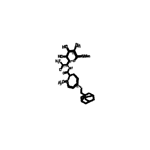 CSC1O[C@H]([C@H](NC(=O)C2CC[C@H](CCC34CC5CC(CC(C5)C3)C4)CCN2C)[C@H](C)Cl)C(O)C(O)[C@H]1O